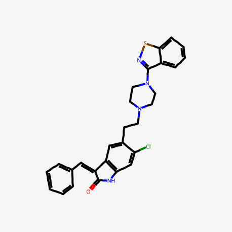 O=C1Nc2cc(Cl)c(CCN3CCN(c4nsc5ccccc45)CC3)cc2/C1=C/c1ccccc1